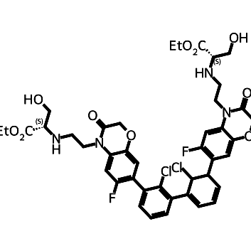 CCOC(=O)[C@H](CO)NCCN1C(=O)COc2cc(-c3cccc(C4=CC=CC(c5cc6c(cc5F)N(CCN[C@@H](CO)C(=O)OCC)C(=O)CO6)C4Cl)c3Cl)c(F)cc21